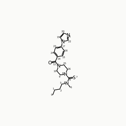 CCCCN(C)C(=S)N1CCN(C(=O)c2ccc(-n3ccnc3)cc2)CC1